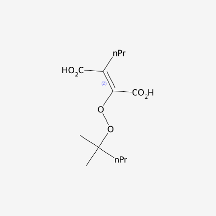 CCC/C(C(=O)O)=C(/OOC(C)(C)CCC)C(=O)O